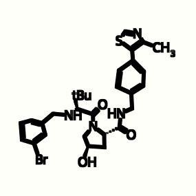 Cc1ncsc1-c1ccc(CNC(=O)[C@@H]2C[C@@H](O)CN2C(=O)[C@@H](NCc2cccc(Br)c2)C(C)(C)C)cc1